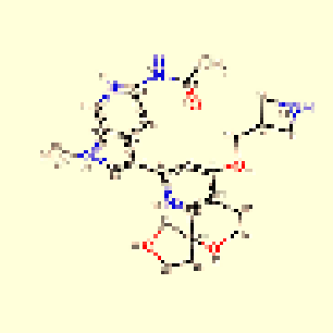 CC(=O)Nc1cc2c(-c3cc(OCC4CNC4)c4c(n3)C3(CCOC3)OCC4)cn(C)c2cn1